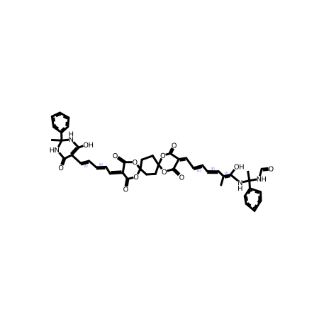 CC(/C=C/C=C/C=C1C(=O)OC2(CCC3(CC2)OC(=O)C(=C/C=C/C=C/C2=C(O)NC(C)(c4ccccc4)NC2=O)C(=O)O3)OC1=O)=C(/O)NC(C)(NC=O)c1ccccc1